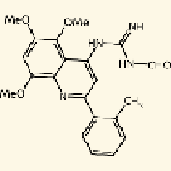 COc1cc(OC)c2nc(-c3ccccc3C)cc(NC(=N)NC=O)c2c1OC